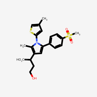 Cc1csc(-n2c(-c3ccc(S(C)(=O)=O)cc3)cc(C(CCO)C(=O)O)c2C)c1